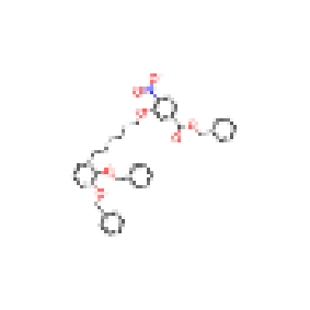 O=C(OCc1ccccc1)c1ccc([N+](=O)[O-])c(OCCCCCCc2cccc(OCc3ccccc3)c2OCc2ccccc2)c1